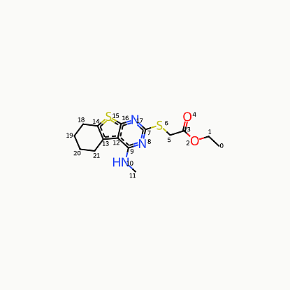 CCOC(=O)CSc1nc(NC)c2c3c(sc2n1)CCCC3